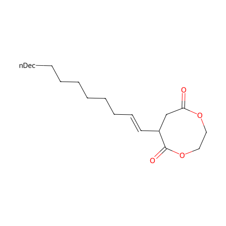 CCCCCCCCCCCCCCCCC=CC1CC(=O)OCCOC1=O